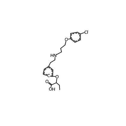 CCC(Oc1cccc(CCNCCCOc2ccc(Cl)cc2)c1)C(=O)O